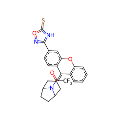 O=C(N1C2CCC1CC(=C1c3ccccc3Oc3cc(-c4noc(=S)[nH]4)ccc31)C2)C(F)(F)F